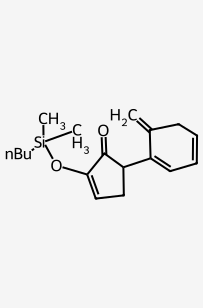 C=C1CC=CC=C1C1CC=C(O[Si](C)(C)CCCC)C1=O